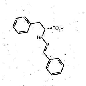 O=C(O)[C@H](Cc1ccccc1)NN=Nc1ccccc1